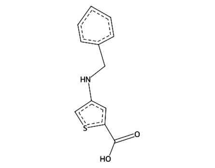 O=C(O)c1cc(NCc2ccccc2)cs1